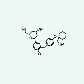 OC[C@@H]1CC(O)C[C@H](c2ccc(Cl)c(Cc3ccc(OC4(CO)CCCCC4)cc3)c2)O1